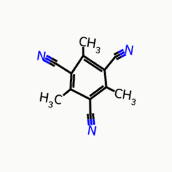 Cc1c(C#N)c(C)c(C#N)c(C)c1C#N